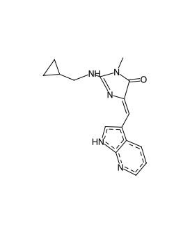 CN1C(=O)/C(=C/c2c[nH]c3ncccc23)N=C1NCC1CC1